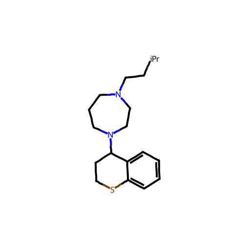 CC(C)CCN1CCCN(C2CCSc3ccccc32)CC1